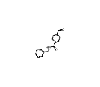 O=Cc1ccc(C(=O)NCc2cccnc2)cc1